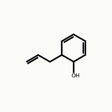 C=CC[C]1C=CC=CC1O